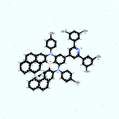 CC(C)(C)c1ccc(N2c3cc(-c4cc(-c5cc(C(C)(C)C)cc(C(C)(C)C)c5)nc(-c5cc(C(C)(C)C)cc(C(C)(C)C)c5)c4)cc4c3B(c3c2cc2ccc5cccc6ccc3c2c56)c2c(cc3ccc5cccc6ccc2c3c56)N4c2ccc(C(C)(C)C)cc2)cc1